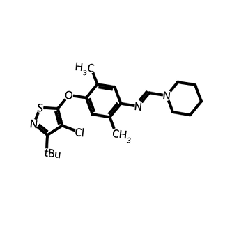 Cc1cc(Oc2snc(C(C)(C)C)c2Cl)c(C)cc1N=CN1CCCCC1